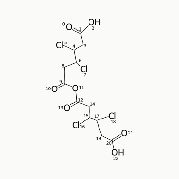 O=C(O)CC(Cl)C(Cl)CC(=O)OC(=O)CC(Cl)C(Cl)CC(=O)O